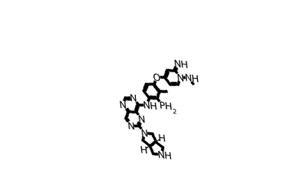 CNn1ccc(Oc2ccc(Nc3ncnc4cnc(N5C[C@H]6CNC[C@H]6C5)nc34)c(P)c2C)cc1=N